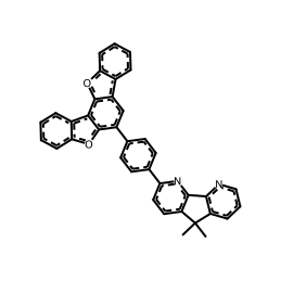 CC1(C)c2cccnc2-c2nc(-c3ccc(-c4cc5c6ccccc6oc5c5c4oc4ccccc45)cc3)ccc21